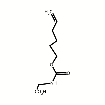 C=CCCCCOC(=O)NCC(=O)O